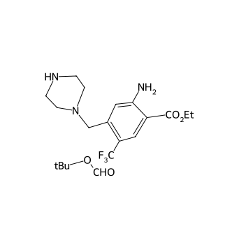 CC(C)(C)OC=O.CCOC(=O)c1cc(C(F)(F)F)c(CN2CCNCC2)cc1N